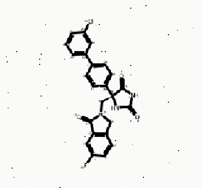 O=C1NC(=O)[C@@](CN2Cc3ccc(F)cc3C2=O)(c2ccc(-c3cccc(Cl)c3)cc2)N1